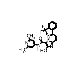 Cc1cc(NC(=O)c2c(O)nc3ccc(-c4ccccc4C(F)(F)F)nn23)cc(C)n1